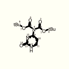 CC(C)(C)OC(=O)N(C(=O)OC(C)(C)C)c1cc[nH]c(=O)n1